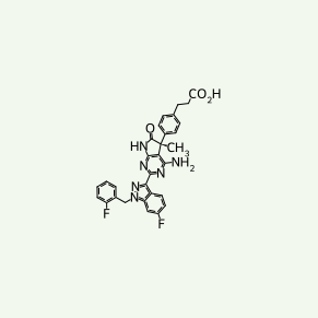 C[C@]1(c2ccc(CCC(=O)O)cc2)C(=O)Nc2nc(-c3nn(Cc4ccccc4F)c4cc(F)ccc34)nc(N)c21